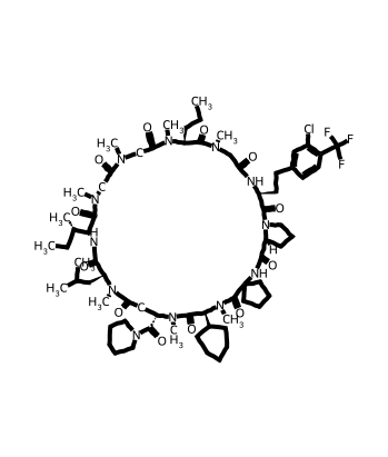 CCC[C@H]1C(=O)N(C)CC(=O)N[C@@H](CCc2ccc(C(F)(F)F)c(Cl)c2)C(=O)N2CCC[C@H]2C(=O)NC2(CCCC2)C(=O)N(C)[C@@H](C2CCCCC2)C(=O)N(C)[C@H](C(=O)N2CCCCC2)CC(=O)N(C)[C@@H](CC(C)C)C(=O)N[C@@H]([C@@H](C)CC)C(=O)N(C)CC(=O)N(C)CC(=O)N1C